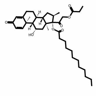 CCCCCCCCCCCC(=O)O[C@@]1(C(=O)COC(=O)CC)[C@H](C)C[C@H]2[C@@H]3CCC4=CC(=O)C=C[C@]4(C)[C@H]3[C@@H](O)C[C@@]21C